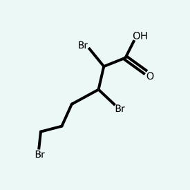 O=C(O)C(Br)C(Br)CCCBr